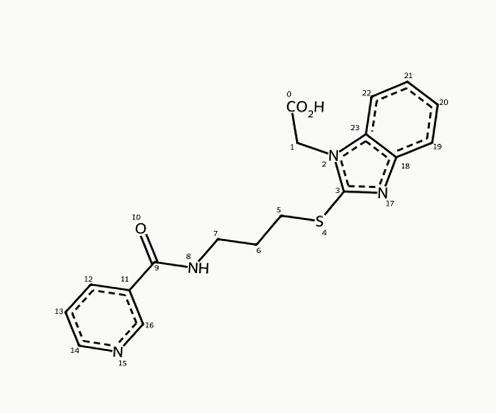 O=C(O)Cn1c(SCCCNC(=O)c2cccnc2)nc2ccccc21